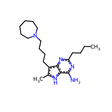 CCCCc1nc(N)c2[nH]c(C)c(CCCCN3CCCCCC3)c2n1